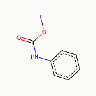 O=C(Nc1ccccc1)OI